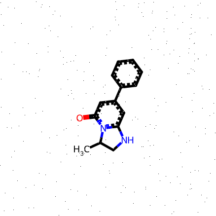 CC1CNc2cc(-c3ccccc3)cc(=O)n21